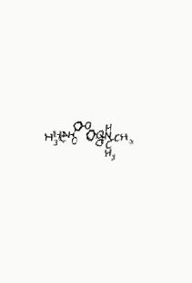 CNC(=O)c1cccc(Oc2cccc(OC(=O)NC(C)C)c2)c1